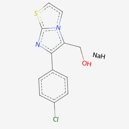 OCc1c(-c2ccc(Cl)cc2)nc2sccn12.[NaH]